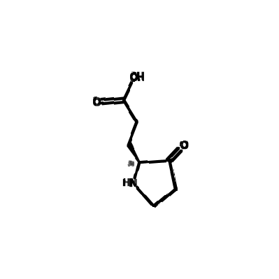 O=C(O)CC[C@@H]1NCCC1=O